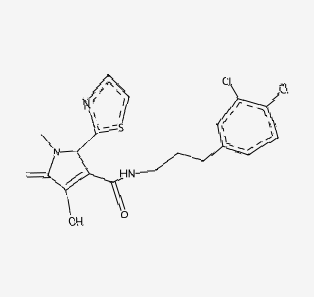 C=C1C(O)=C(C(=O)NCCCc2ccc(Cl)c(Cl)c2)C(c2nccs2)N1C